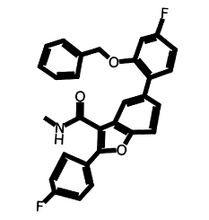 CNC(=O)c1c(-c2ccc(F)cc2)oc2ccc(-c3ccc(F)cc3OCc3ccccc3)cc12